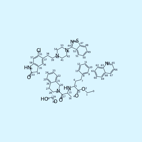 CCOC(=O)C(CCc1ccccc1)NC(C)C(=O)N1Cc2ccccc2C[C@H]1C(=O)O.O=C1Cc2cc(CCN3CCN(c4nsc5ccccc45)CC3)c(Cl)cc2N1.c1ccc2ncccc2c1